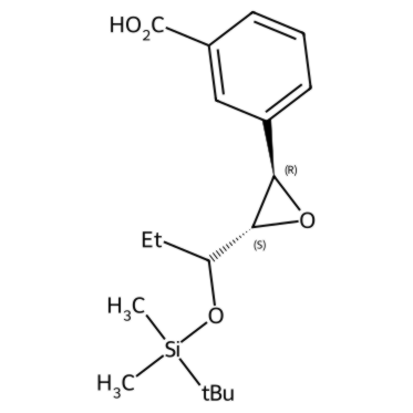 CCC(O[Si](C)(C)C(C)(C)C)[C@H]1O[C@@H]1c1cccc(C(=O)O)c1